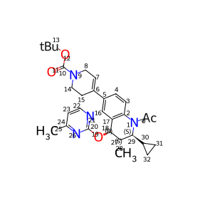 CC(=O)N1c2ccc(C3=CCN(C(=O)OC(C)(C)C)CC3)cc2[C@H](Oc2nccc(C)n2)[C@@H](C)[C@@H]1C1CC1